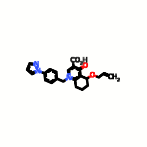 C=CCOC1CCCc2c1c(=O)c(C(=O)O)cn2Cc1ccc(-n2cccn2)cc1